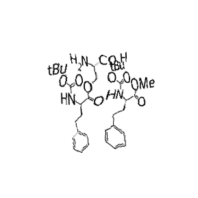 CC(C)(C)OC(=O)N[C@H](CCc1ccccc1)C(=O)OC[C@H](N)C(=O)O.COC(=O)[C@@H](CCc1ccccc1)NC(=O)OC(C)(C)C